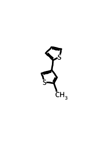 Cc1cc(-c2cccs2)cs1